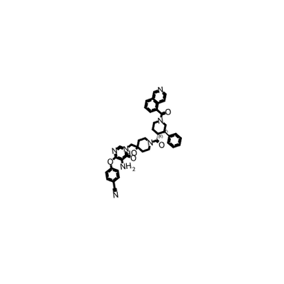 N#Cc1ccc(Oc2ncn(CC3(O)CCN(C(=O)[C@@H]4CCN(C(=O)c5cccc6cnccc56)C[C@H]4c4ccccc4)CC3)c(=O)c2N)cc1